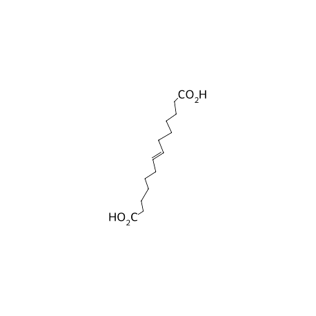 O=C(O)CCCCC/C=C/CCCCCC(=O)O